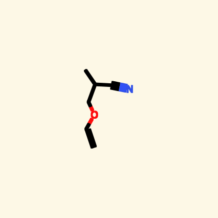 C=COCC(C)C#N